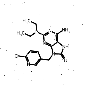 CCP(CC)c1nc(N)c2[nH]c(=O)n(Cc3ccc(Cl)nc3)c2n1